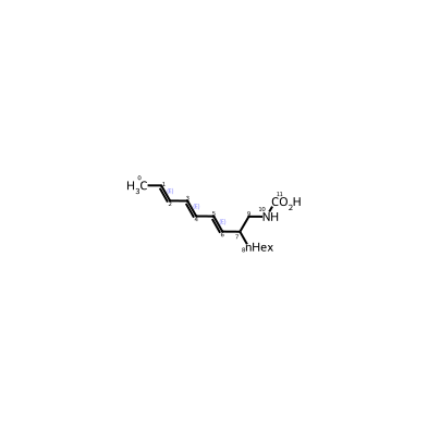 C/C=C/C=C/C=C/C(CCCCCC)CNC(=O)O